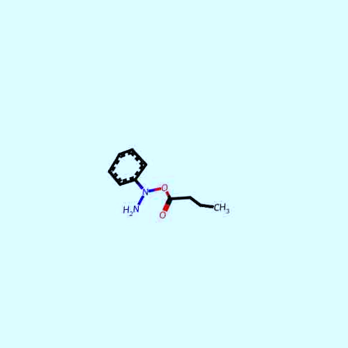 CCCC(=O)ON(N)c1ccccc1